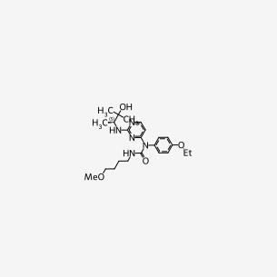 CCOc1ccc(N(C(=O)NCCCCOC)c2ccnc(N[C@@H](C)C(C)(C)O)n2)cc1